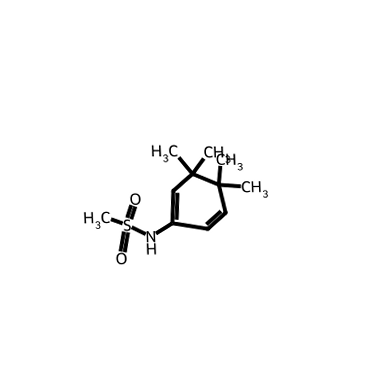 CC1(C)C=CC(NS(C)(=O)=O)=CC1(C)C